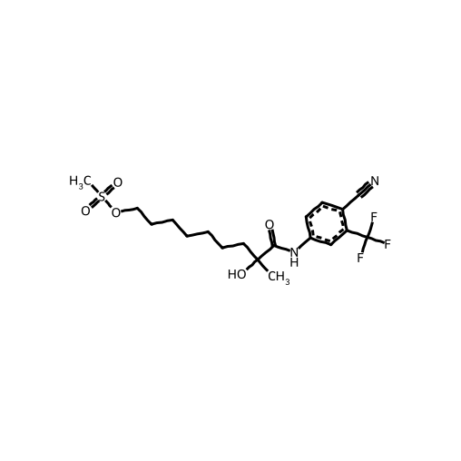 CC(O)(CCCCCCCOS(C)(=O)=O)C(=O)Nc1ccc(C#N)c(C(F)(F)F)c1